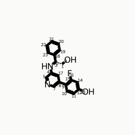 OC[C@H](Nc1cncc(-c2ccc(O)cc2F)c1)c1ccccc1